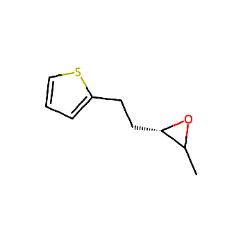 CC1O[C@H]1CCc1cccs1